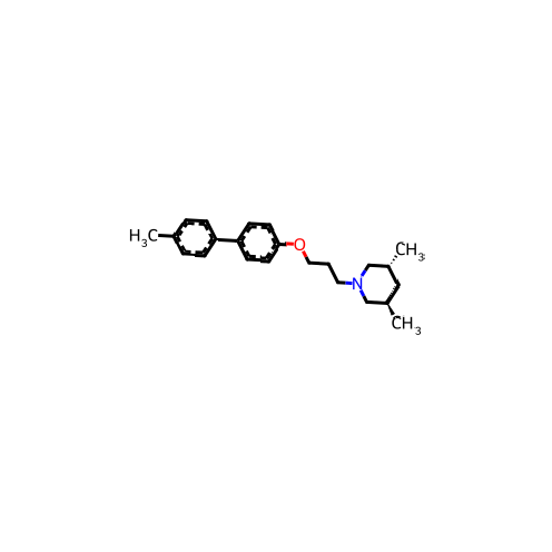 Cc1ccc(-c2ccc(OCCCN3C[C@H](C)C[C@@H](C)C3)cc2)cc1